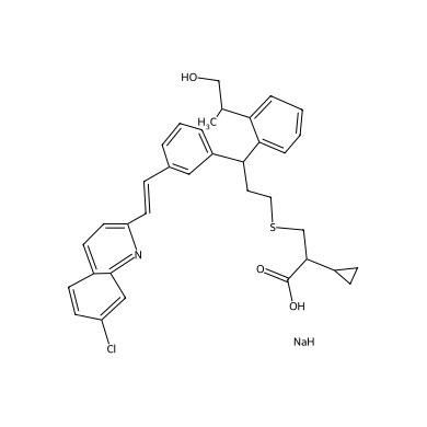 CC(CO)c1ccccc1C(CCSCC(C(=O)O)C1CC1)c1cccc(/C=C/c2ccc3ccc(Cl)cc3n2)c1.[NaH]